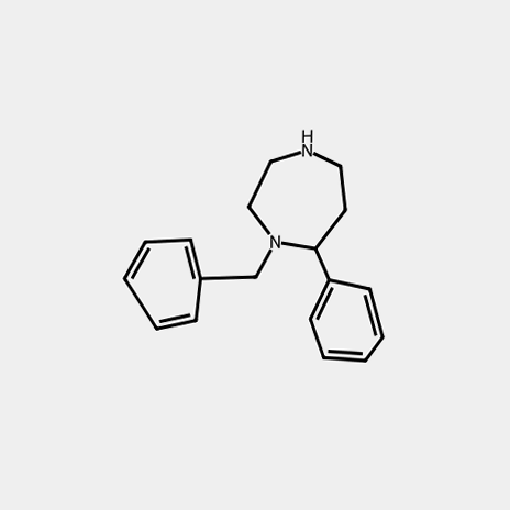 c1ccc(CN2CCNCCC2c2ccccc2)cc1